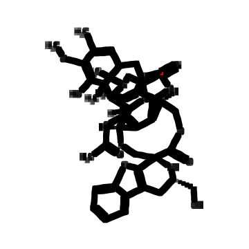 COC1=C(O)C2(C)C(C=C1C)CC1(C#N)CN(C)C2[C@@H]2[C@@H]3SC[C@]4(N[C@H](CO)Cc5c4oc4ccccc54)C(=O)OC[C@@H](c4c5c(c(C)c(OC(C)=O)c43)OCO5)N21